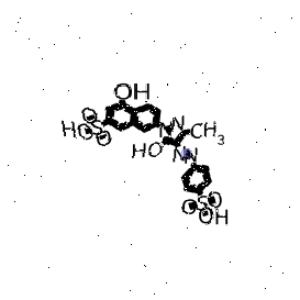 Cc1nn(-c2ccc3c(O)cc(S(=O)(=O)O)cc3c2)c(O)c1/N=N/c1ccc(S(=O)(=O)O)cc1